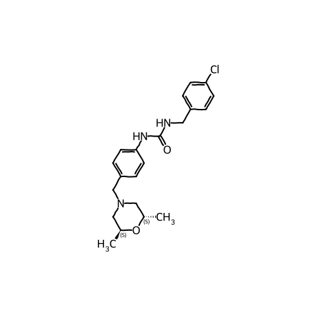 C[C@H]1CN(Cc2ccc(NC(=O)NCc3ccc(Cl)cc3)cc2)C[C@H](C)O1